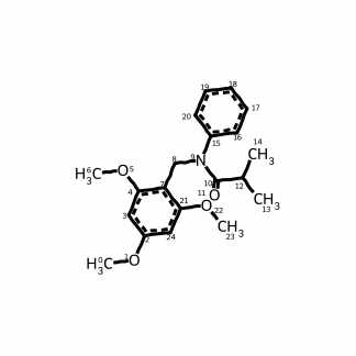 COc1cc(OC)c(CN(C(=O)C(C)C)c2ccccc2)c(OC)c1